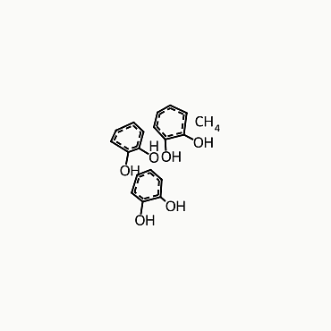 C.Oc1ccccc1O.Oc1ccccc1O.Oc1ccccc1O